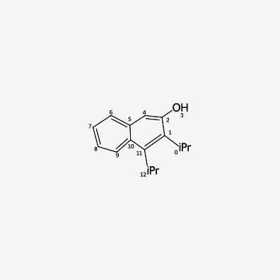 CC(C)c1c(O)cc2ccccc2c1C(C)C